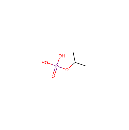 [CH2]C(C)OP(=O)(O)O